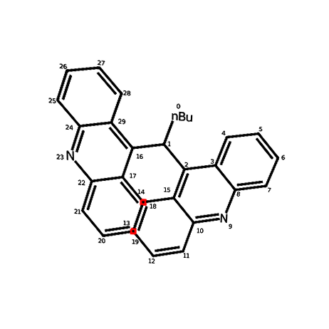 CCCCC(c1c2ccccc2nc2ccccc12)c1c2ccccc2nc2ccccc12